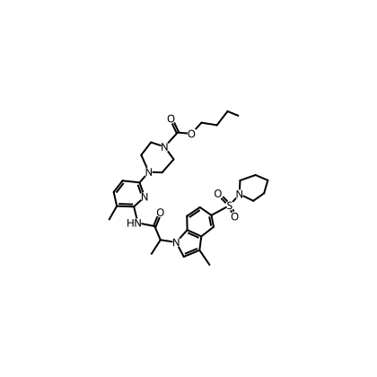 CCCCOC(=O)N1CCN(c2ccc(C)c(NC(=O)C(C)n3cc(C)c4cc(S(=O)(=O)N5CCCCC5)ccc43)n2)CC1